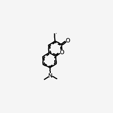 [CH2]c1cc2ccc(N(C)C)cc2oc1=O